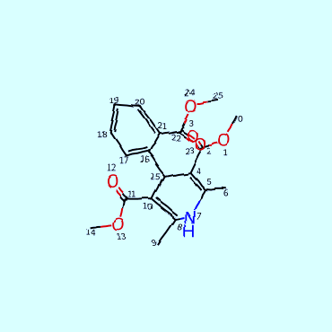 COC(=O)C1=C(C)NC(C)=C(C(=O)OC)C1c1ccccc1C(=O)OC